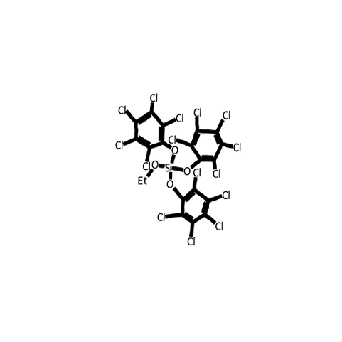 CCO[Si](Oc1c(Cl)c(Cl)c(Cl)c(Cl)c1Cl)(Oc1c(Cl)c(Cl)c(Cl)c(Cl)c1Cl)Oc1c(Cl)c(Cl)c(Cl)c(Cl)c1Cl